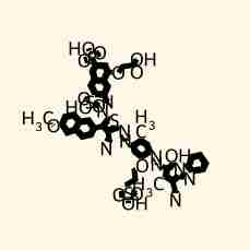 COc1ccc2cc(-c3c(N=Nc4cc5c(OCC(=O)O)cc(S(=O)(=O)O)cc5cc4S(=O)(=O)O)sc(N=Nc4cc(OCCCS(=O)(=O)O)c(N=Nc5c(C)c(C#N)c6nc7ccccc7n6c5O)cc4C)c3C#N)ccc2c1